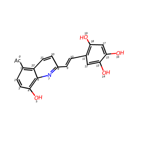 CC(=O)c1ccc(O)c2nc(/C=C/c3cc(O)c(O)cc3O)ccc12